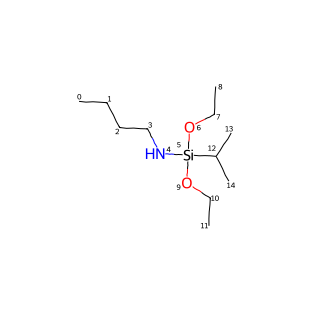 CCCCN[Si](OCC)(OCC)C(C)C